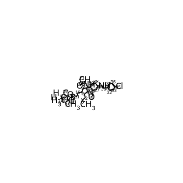 CCCCC(N=O)C(CCCCB1OC(C)(C)C(C)(C)O1)(NC(C)=O)C1CCC(NCc2ccc(Cl)cc2)CC1